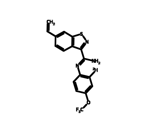 [2H]c1cc(OC(F)(F)F)ccc1N=C(N)c1nsc2cc(C=C)ccc12